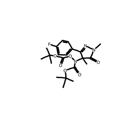 CN1N=C(c2ccc(F)cc2)C(C)(N(OC(=O)OC(C)(C)C)C(=O)OC(C)(C)C)C1=O